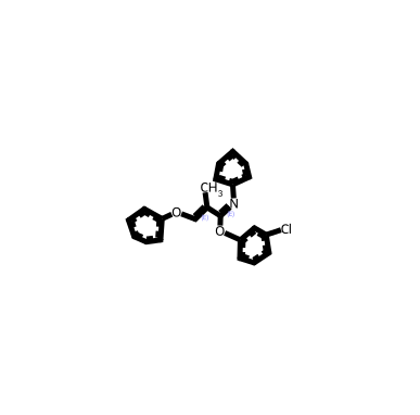 CC(=C\Oc1ccccc1)/C(=N\c1ccccc1)Oc1cccc(Cl)c1